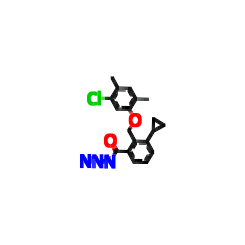 Cc1cc(C)c(OCc2c(C(=O)N=[N+]=[N-])cccc2C2CC2)cc1Cl